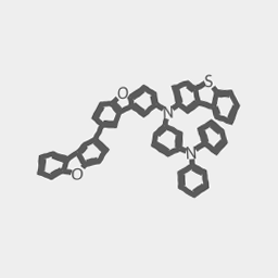 c1ccc(N(c2ccccc2)c2cccc(N(c3ccc4oc5ccc(-c6ccc7oc8ccccc8c7c6)cc5c4c3)c3ccc4sc5ccccc5c4c3)c2)cc1